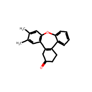 Cc1cc2c(cc1C)C1=C(CCC(=O)C1)c1ccccc1O2